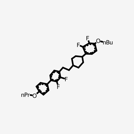 CCCCOc1ccc(C2CCC(CCc3ccc(-c4ccc(OCCC)cc4)c(F)c3F)CC2)c(F)c1F